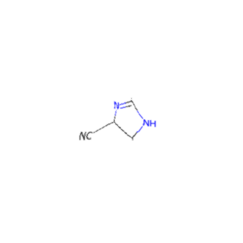 N#CC1[CH]N[C]=N1